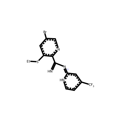 CCSc1cc(Br)cnc1C(=N)/N=c1/cc(C(F)(F)F)cc[nH]1